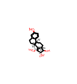 C[C@]12CC[C@@H]3c4ccc(O)cc4CC[C@H]3[C@@H]1[C@@H](O)[C@@H](O)C2O